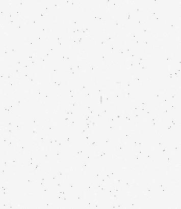 CCCC.Cl.NC(=O)Cl